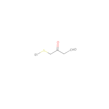 CCSCC(=O)CC=O